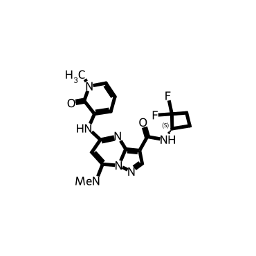 CNc1cc(Nc2cccn(C)c2=O)nc2c(C(=O)N[C@H]3CCC3(F)F)cnn12